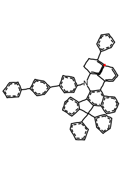 C1=C=C(c2c(N(C3=CC=C(c4ccccc4)CC3)c3ccc(-c4ccc(-c5ccccc5)cc4)cc3)c3c(c4ccccc24)C(c2ccccc2)(c2ccccc2)c2ccccc2-3)C=CC=1